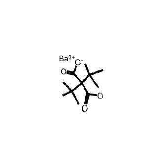 CC(C)(C)C(C(=O)[O-])(C(=O)[O-])C(C)(C)C.[Ba+2]